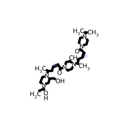 C=CC(O)N1CCN(C(C)C/C=C\C(=O)N2CCN(C(C)C/C=C\C(=O)N3CCN(C(C)C)CC3)C(C)C2)C(CO)C1